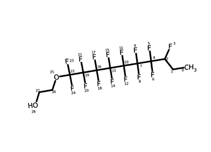 CCC(F)C(F)(F)C(F)(F)C(F)(F)C(F)(F)C(F)(F)C(F)(F)C(F)(F)OCCO